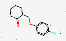 O=C1CCCCC1COc1ccc(F)cc1